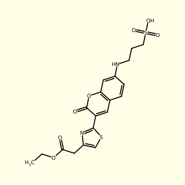 CCOC(=O)Cc1csc(-c2cc3ccc(NCCCS(=O)(=O)O)cc3oc2=O)n1